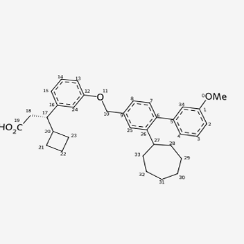 COc1cccc(-c2ccc(COc3cccc([C@@H](CC(=O)O)C4CCC4)c3)cc2C2CCCCCC2)c1